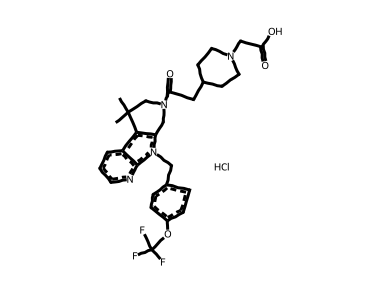 CC1(C)CN(C(=O)CC2CCN(CC(=O)O)CC2)Cc2c1c1cccnc1n2Cc1ccc(OC(F)(F)F)cc1.Cl